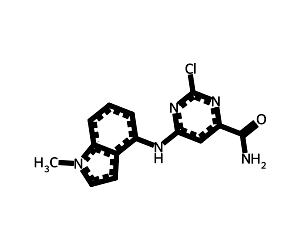 Cn1ccc2c(Nc3cc(C(N)=O)nc(Cl)n3)cccc21